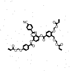 C=CC(=O)OCOCc1cc(C(=O)Oc2ccc(OC(=O)c3ccc(OCOC(=O)C=C)cc3)c3sc(-c4ccc(C#N)cc4)nc23)ccc1OCOC(=O)C=C